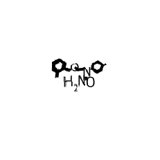 Cc1ccccc1COCCN(C(N)=O)[C@H]1CC[C@H](C)CC1